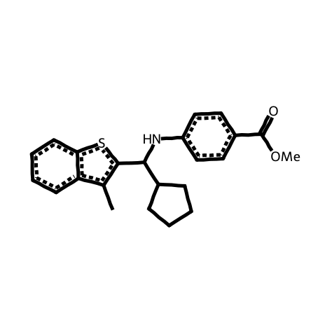 COC(=O)c1ccc(NC(c2sc3ccccc3c2C)C2CCCC2)cc1